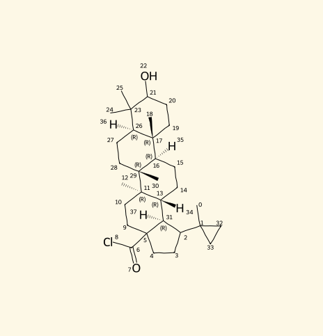 CC1(C2CCC3(C(=O)Cl)CC[C@]4(C)[C@H](CC[C@@H]5[C@@]6(C)CCC(O)C(C)(C)[C@@H]6CC[C@]54C)[C@@H]23)CC1